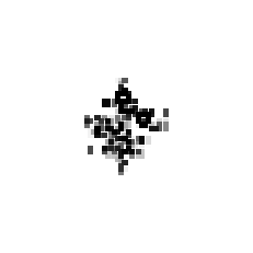 COc1cc(O)c2c(=O)c(O[C@@H]3O[C@H](CO)[C@@H](O)[C@H](O)[C@H]3O[C@H]3O[C@H](S(=O)(=O)CO)[C@@H](O)[C@@H](O)[C@H]3O)c(-c3ccc(O)c(O)c3)oc2c1